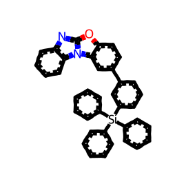 c1ccc([Si](c2ccccc2)(c2ccccc2)c2cccc(-c3ccc4oc5nc6ccccc6n5c4c3)c2)cc1